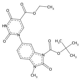 CCOC(=O)c1cn(-c2ccc3c(c2)n(C(=O)OC(C)(C)C)c(=O)n3C)c(=O)[nH]c1=O